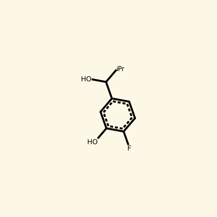 CC(C)C(O)c1ccc(F)c(O)c1